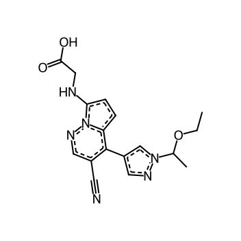 CCOC(C)n1cc(-c2c(C#N)cnn3c(NCC(=O)O)ccc23)cn1